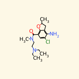 CCN(CC)CCN(C)C(=O)c1cc(Cl)c(N)c2c1OC(C)C2